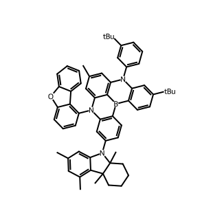 Cc1cc2c3c(c1)N(c1cccc4oc5ccccc5c14)c1cc(N4c5cc(C)cc(C)c5C5(C)CCCCC45C)ccc1B3c1ccc(C(C)(C)C)cc1N2c1cccc(C(C)(C)C)c1